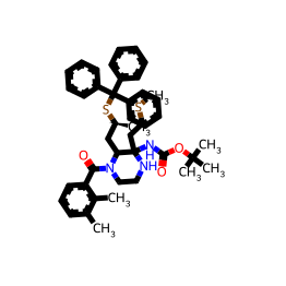 CSCCC1(NC(=O)OC(C)(C)C)NCCN(C(=O)c2cccc(C)c2C)C1C[C@H](C)SC(c1ccccc1)(c1ccccc1)c1ccccc1